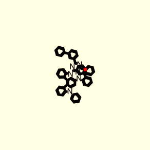 c1ccc(-c2cccc(-c3nc(-c4ccccc4)nc(-n4c5ccccc5c5c6c7ccccc7n(-c7ccccc7)c6cc(-n6c7ccccc7c7ccccc76)c54)n3)c2)cc1